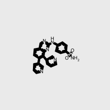 NS(=O)(=O)c1ccc(Nc2ncc3ccc(-c4cccnc4)c(-c4cccnc4)c3n2)cc1